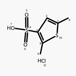 Cc1cc(S(=O)(=O)O)c(C)s1.Cl